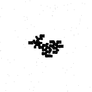 C/C=C1\[C@H](O[C@@H]2O[C@H](CO)[C@@H](O)[C@H](O)[C@H]2O)OC=C(C(=O)OC)[C@H]1CC(=O)O[C@H]1C[C@@H](C(C)CO)[C@H](CO)[C@@H]1C